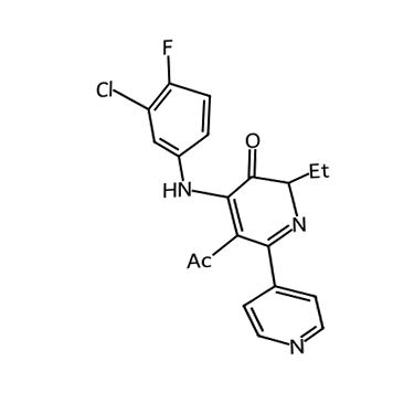 CCC1N=C(c2ccncc2)C(C(C)=O)=C(Nc2ccc(F)c(Cl)c2)C1=O